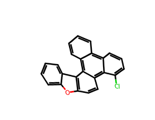 Clc1cccc2c3ccccc3c3c(ccc4oc5ccccc5c43)c12